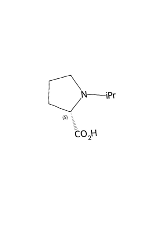 CC(C)N1CCC[C@H]1C(=O)O